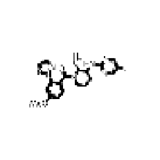 COc1ccc(C(=O)N2CCCC(Nc3ncc(Cl)cn3)C2C)c(-n2nccn2)c1